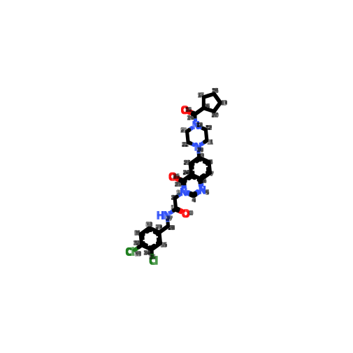 O=C(Cn1cnc2ccc(N3CCN(C(=O)C4CCCC4)CC3)cc2c1=O)NCc1ccc(Cl)c(Cl)c1